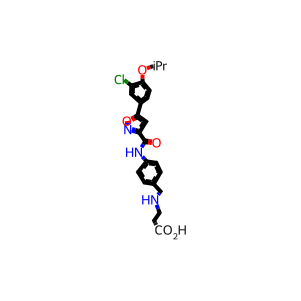 CC(C)Oc1ccc(-c2cc(C(=O)Nc3ccc(CNCCC(=O)O)cc3)no2)cc1Cl